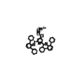 CC(=Nc1c(C2CCCCC2)cccc1C1CCCCC1)c1cc(Cl)cc(C(C)=Nc2c(C3CCCCC3)cccc2C2CCCCC2)n1.[Cl-].[Cl-].[Cl-].[Fe+3]